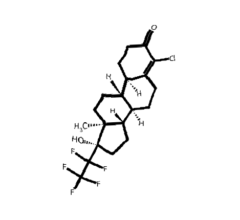 C[C@]12CC[C@H]3[C@@H](CCC4=C(Cl)C(=O)CC[C@@H]43)[C@@H]1CC[C@@]2(O)C(F)(F)C(F)(F)F